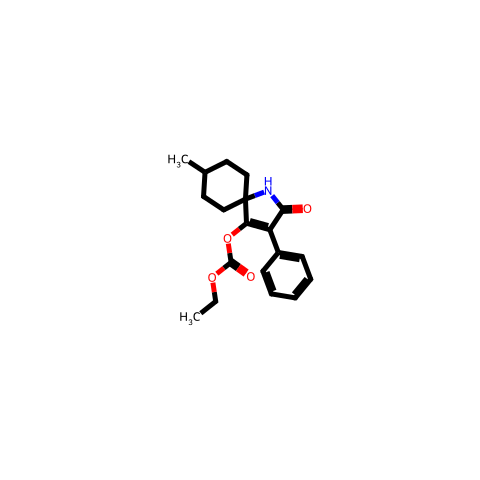 CCOC(=O)OC1=C(c2ccccc2)C(=O)NC12CCC(C)CC2